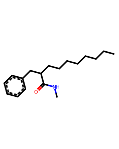 CCCCCCCCC(Cc1ccccc1)C(=O)NC